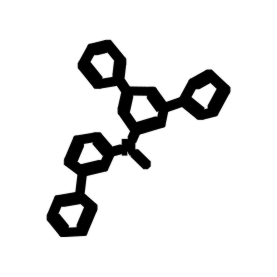 CN(c1cccc(-c2ccccc2)c1)c1cc(-c2ccccc2)cc(-c2ccccc2)c1